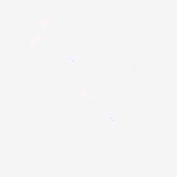 Cl.O=C(O)[C@@H]1CCCN(CCOCCN2c3ccccc3CCCc3ccccc32)C1